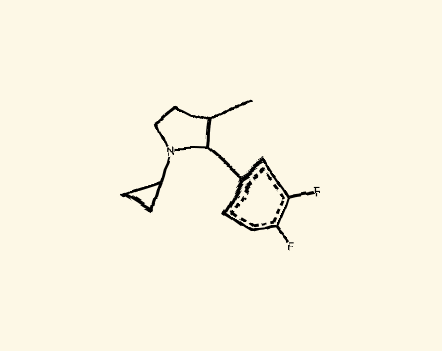 CC1CCN(C2CC2)C1c1ccc(F)c(F)c1